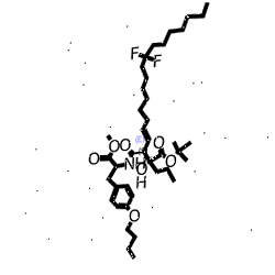 CCCCCCCC(F)(F)CCCCCC/C=C/[C@H](C(=O)NC(Cc1ccc(OCCCC)cc1)C(=O)OC)[C@@](O)(CCC)C(=O)OC(C)(C)C